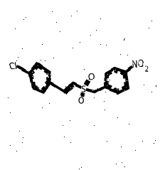 O=[N+]([O-])c1ccc(CS(=O)(=O)/C=C/c2ccc(Cl)cc2)cc1